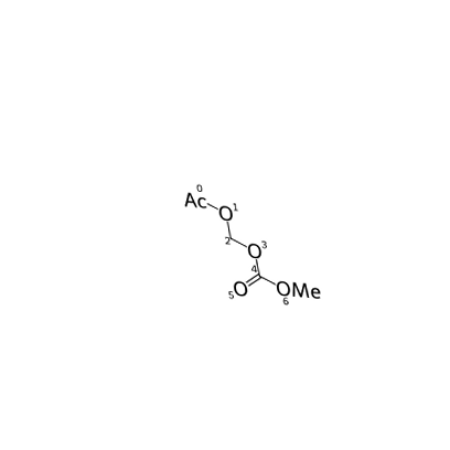 [CH2]C(=O)OCOC(=O)OC